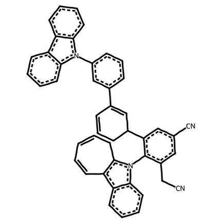 N#CCc1cc(C#N)cc(C2C=C(c3cccc(-n4c5ccccc5c5ccccc54)c3)C=CC2)c1-n1c2c(c3ccccc31)C=CC=CC2